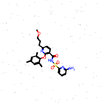 COCCCc1ccc(C(=O)NS(=O)(=O)c2cccc(N)n2)c(Oc2c(C)cc(C)cc2C)n1